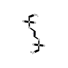 C=CS(=O)(=O)O/C=C/OS(=O)(=O)C=C